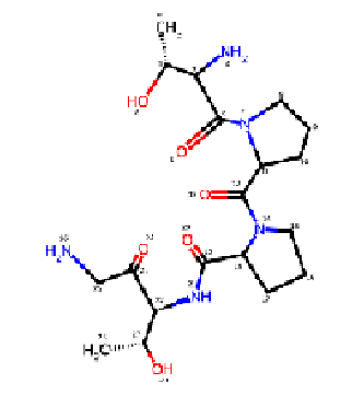 C[C@@H](O)C(N)C(=O)N1CCCC1C(=O)N1CCCC1C(=O)N[C@H](C(=O)CN)[C@@H](C)O